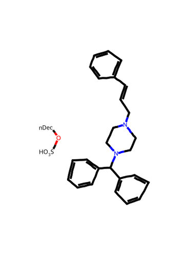 C(=Cc1ccccc1)CN1CCN(C(c2ccccc2)c2ccccc2)CC1.CCCCCCCCCCOS(=O)(=O)O